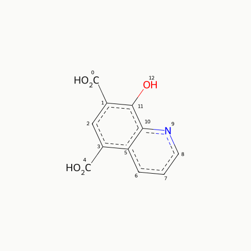 O=C(O)c1cc(C(=O)O)c2cccnc2c1O